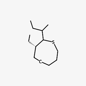 CCC(C)C1SCCCCC[C@@H]1CC